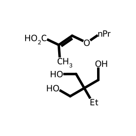 CCC(CO)(CO)CO.CCCOC=C(C)C(=O)O